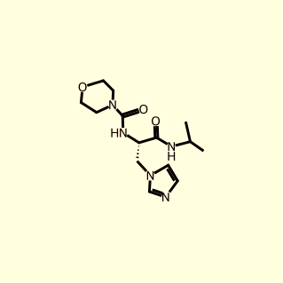 CC(C)NC(=O)[C@H](Cn1ccnc1)NC(=O)N1CCOCC1